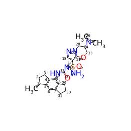 CC1CCc2c1cc1c(c2NC(=O)N=S(N)(=O)c2cnn3c2OCC(N(C)C)C3)CCC1